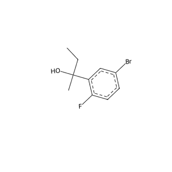 CCC(C)(O)c1cc(Br)ccc1F